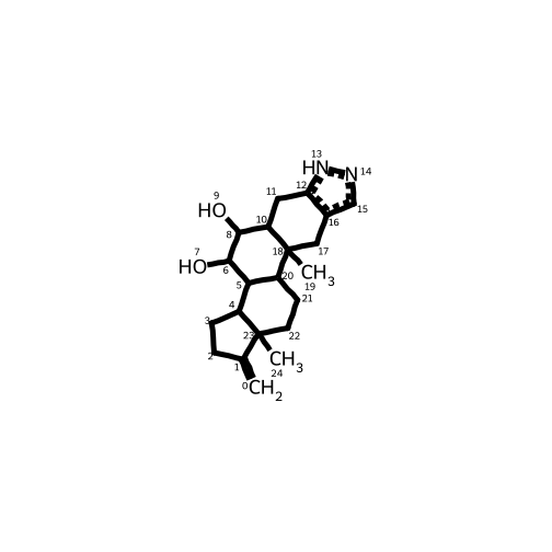 C=C1CCC2C3C(O)C(O)C4Cc5[nH]ncc5CC4(C)C3CCC12C